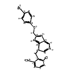 Clc1cccc(Cl)c1Cn1cncc2nc(COc3ccc(Br)cc3)nc1-2